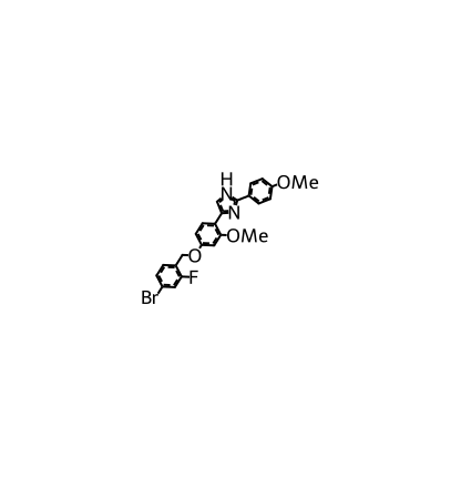 COc1ccc(-c2nc(-c3ccc(OCc4ccc(Br)cc4F)cc3OC)c[nH]2)cc1